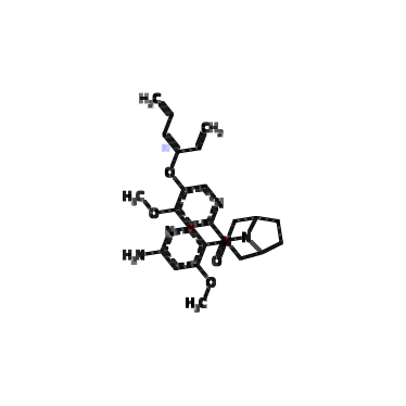 C=C/C=C(\C=C)Oc1cnc(C(=O)N2C3CCC2CN(c2cnc(N)cc2OC)C3)cc1OC